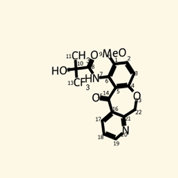 COc1ccc2c(c1NC(=O)C(C)(O)C(F)(F)F)C(=O)c1cccnc1CO2